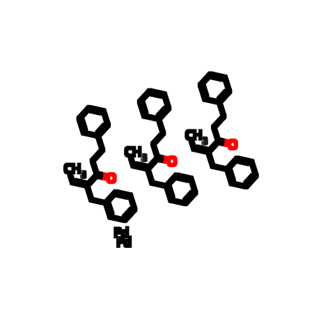 CC=C(Cc1ccccc1)C(=O)CCc1ccccc1.CC=C(Cc1ccccc1)C(=O)CCc1ccccc1.CC=C(Cc1ccccc1)C(=O)CCc1ccccc1.[Pd].[Pd]